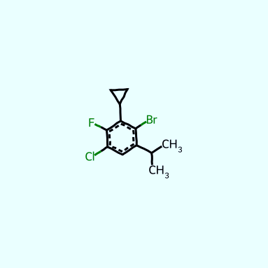 CC(C)c1cc(Cl)c(F)c(C2CC2)c1Br